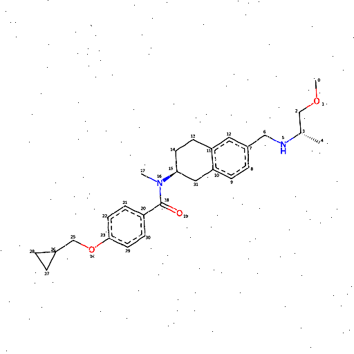 COC[C@H](C)NCc1ccc2c(c1)CC[C@H](N(C)C(=O)c1ccc(OCC3CC3)cc1)C2